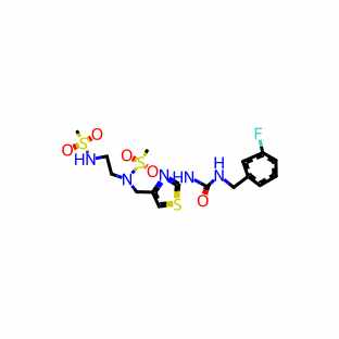 CS(=O)(=O)NCCN(Cc1csc(NC(=O)NCc2cccc(F)c2)n1)S(C)(=O)=O